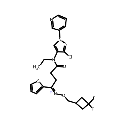 CCN(C(=O)CC/C(=N\OCC1CC(F)(F)C1)c1cccs1)c1cn(-c2cccnc2)nc1Cl